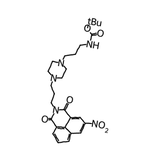 CC(C)(C)OC(=O)NCCCN1CCN(CCCN2C(=O)c3cccc4cc([N+](=O)[O-])cc(c34)C2=O)CC1